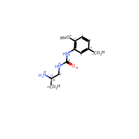 COc1ccc(C(=O)O)cc1NC(=O)NC[C@H](N)C(=O)O